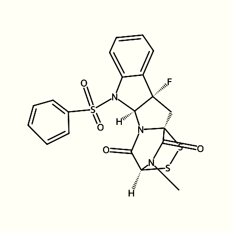 CN1C(=O)[C@@]23C[C@]4(F)c5ccccc5N(S(=O)(=O)c5ccccc5)[C@@H]4N2C(=O)[C@@H]1SS3